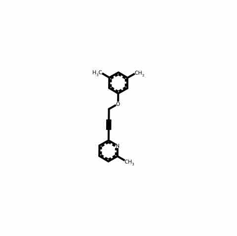 Cc1cc(C)cc(OCC#Cc2cccc(C)n2)c1